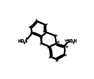 O=S(=O)(O)c1cccc2c1Cc1cccc(S(=O)(=O)O)c1C2